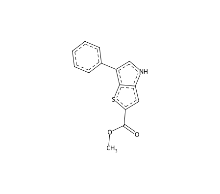 COC(=O)c1cc2[nH]cc(-c3ccccc3)c2s1